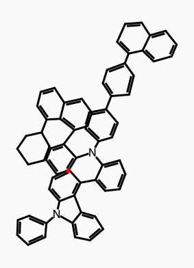 c1ccc(-n2c3ccccc3c3c(-c4ccccc4N(c4ccc(-c5ccc(-c6cccc7ccccc67)cc5)cc4)c4ccccc4-c4cccc5cccc(C6CCCCC6)c45)cccc32)cc1